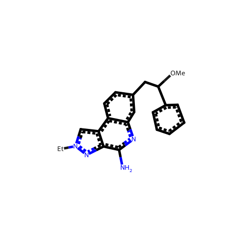 CCn1cc2c(n1)c(N)nc1cc(CC(OC)c3ccccc3)ccc12